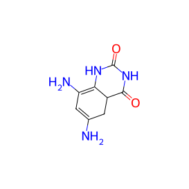 NC1=CC(N)=C2NC(=O)NC(=O)C2C1